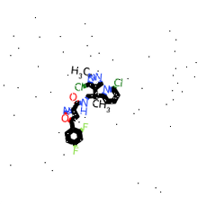 Cn1ncc(C(C)(CNC(=O)c2cc(-c3ccc(F)cc3F)on2)c2cccc(Cl)n2)c1Cl